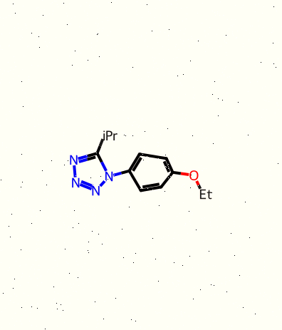 CCOc1ccc(-n2nnnc2C(C)C)cc1